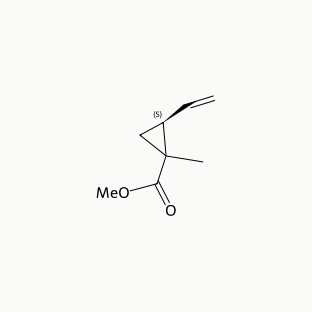 C=C[C@@H]1CC1(C)C(=O)OC